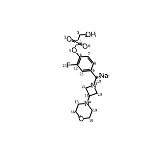 O=S(=O)(CO)Oc1ccc(CN2CC(N3CCOCC3)C2)cc1F.[Na]